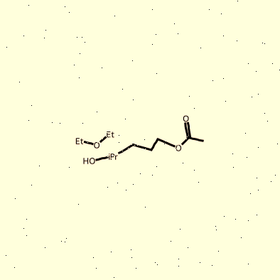 CC(C)O.CCCCOC(C)=O.CCOCC